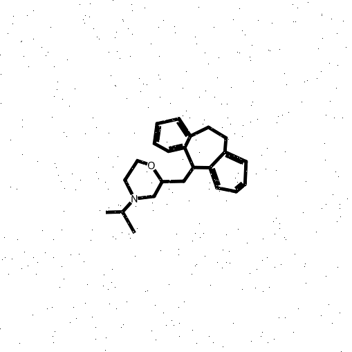 CC(C)N1CCOC(CC2c3ccccc3CCc3ccccc32)C1